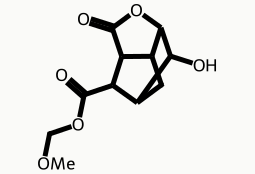 COCOC(=O)C1C2CC3C(OC(=O)C31)C2O